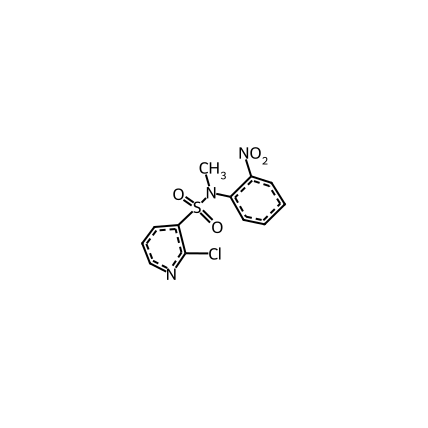 CN(c1ccccc1[N+](=O)[O-])S(=O)(=O)c1cccnc1Cl